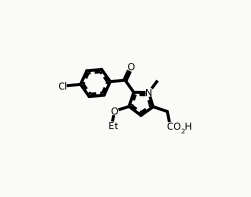 CCOc1cc(CC(=O)O)n(C)c1C(=O)c1ccc(Cl)cc1